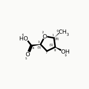 C[C@H]1O[C@H](C(=O)O)C[C@@H]1O